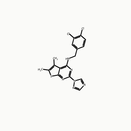 Cc1sc2nc(-n3cncn3)nc(NCc3ccc(Cl)c(Cl)c3)c2c1C